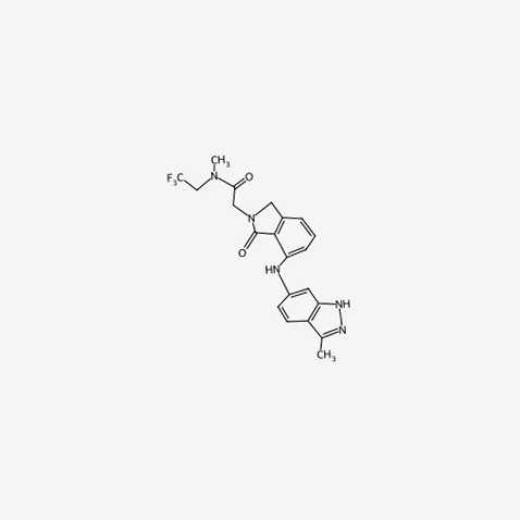 Cc1n[nH]c2cc(Nc3cccc4c3C(=O)N(CC(=O)N(C)CC(F)(F)F)C4)ccc12